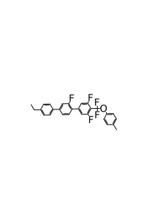 CCc1ccc(-c2ccc(-c3cc(F)c(C(F)(F)Oc4ccc(C)cc4)c(F)c3)c(F)c2)cc1